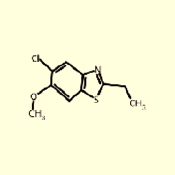 CCc1nc2cc(Cl)c(OC)cc2s1